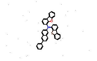 c1ccc(-c2ccc3cc(N(c4cccc5c4oc4ccccc45)c4cccc5c4sc4ccccc45)ccc3c2)cc1